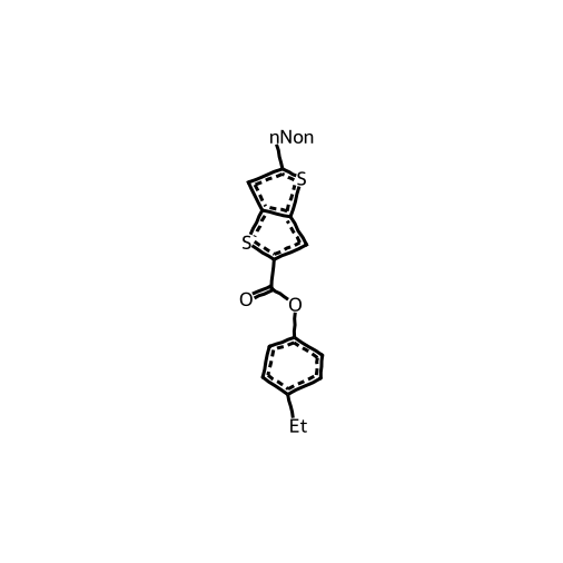 CCCCCCCCCc1cc2sc(C(=O)Oc3ccc(CC)cc3)cc2s1